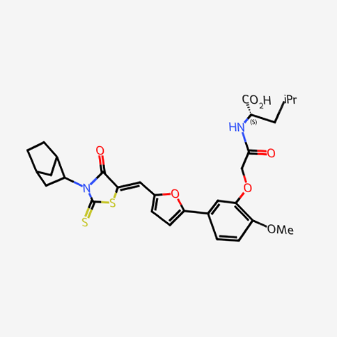 COc1ccc(-c2ccc(C=C3SC(=S)N(C4CC5CCC4C5)C3=O)o2)cc1OCC(=O)N[C@@H](CC(C)C)C(=O)O